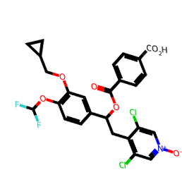 O=C(O)c1ccc(C(=O)OC(Cc2c(Cl)c[n+]([O-])cc2Cl)c2ccc(OC(F)F)c(OCC3CC3)c2)cc1